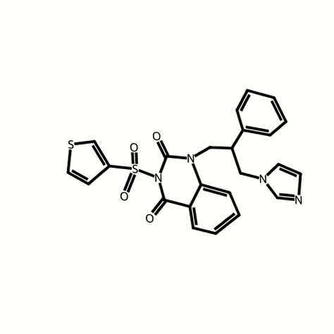 O=c1c2ccccc2n(CC(Cn2ccnc2)c2ccccc2)c(=O)n1S(=O)(=O)c1ccsc1